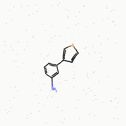 Nc1cccc(-c2[c]scc2)c1